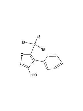 CC[Si](CC)(CC)c1occ(C=O)c1-c1ccccc1